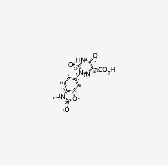 Cn1c(=O)oc2cc(-n3nc(C(=O)O)c(=O)[nH]c3=O)ccc21